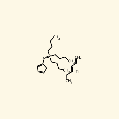 C=CC=CCC.CCCCP(CCCC)(CCCC)=NC1=CC=CC1.[Ti]